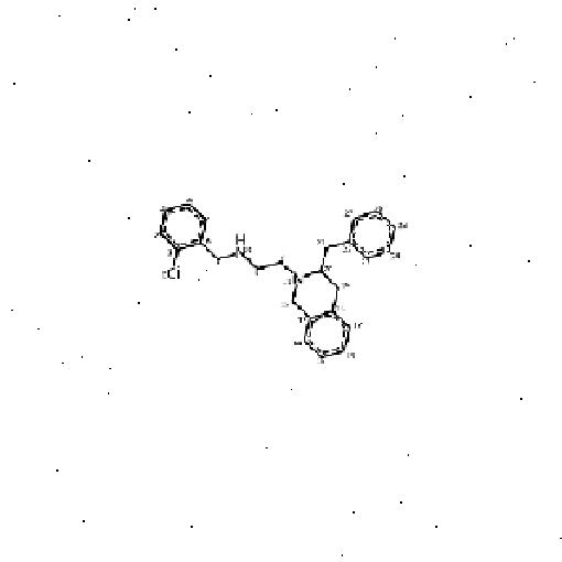 Clc1ccccc1CNCCN1Cc2ccccc2CC1Cc1ccccc1